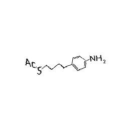 CC(=O)SCCCCc1ccc(N)cc1